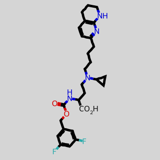 O=C(NC(CCN(CCCCc1ccc2c(n1)NCCC2)C1CC1)C(=O)O)OCc1cc(F)cc(F)c1